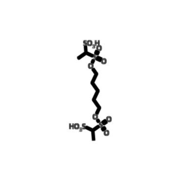 CC(S(=O)(=O)O)S(=O)(=O)OCCCCCOS(=O)(=O)C(C)S(=O)(=O)O